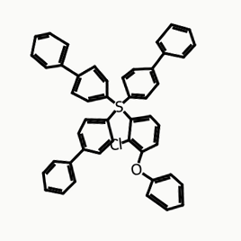 Clc1c(Oc2ccccc2)cccc1S(c1ccc(-c2ccccc2)cc1)(c1ccc(-c2ccccc2)cc1)c1ccc(-c2ccccc2)cc1